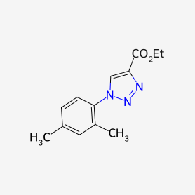 CCOC(=O)c1cn(-c2ccc(C)cc2C)nn1